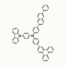 c1ccc(-c2ccc3cc(-c4ccc(N(c5ccc(-c6ccc7c8ccccc8c8ccccc8c7c6)cc5)c5ccc(-n6c7ccccc7c7ccccc76)cc5)cc4)ccc3c2)cc1